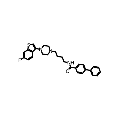 O=C(NCCCCN1CCN(c2csc3cc(F)ccc23)CC1)c1ccc(-c2ccccc2)cc1